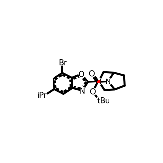 CC(C)c1cc(Br)c2oc(N3CC4CCC(C3)N4C(=O)OC(C)(C)C)nc2c1